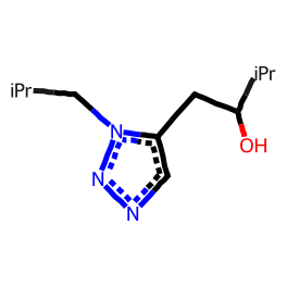 CC(C)Cn1nncc1CC(O)C(C)C